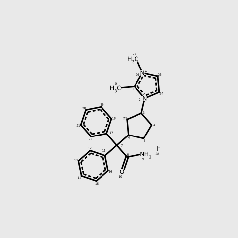 Cc1n(C2CCC(C(C(N)=O)(c3ccccc3)c3ccccc3)C2)cc[n+]1C.[I-]